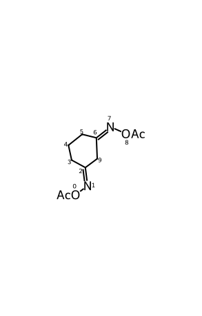 CC(=O)ON=C1CCCC(=NOC(C)=O)C1